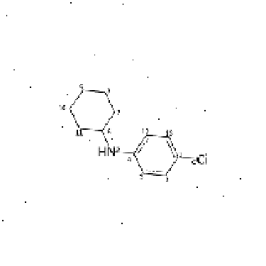 Clc1ccc(NC2CCCCC2)cc1